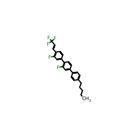 CCCCCc1ccc(-c2ccc(-c3ccc(/C=C/C(F)(F)F)c(F)c3)c(F)c2)cc1